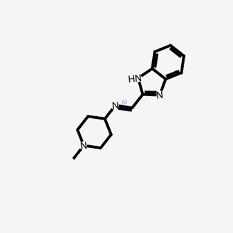 CN1CCC(/N=C/c2nc3ccccc3[nH]2)CC1